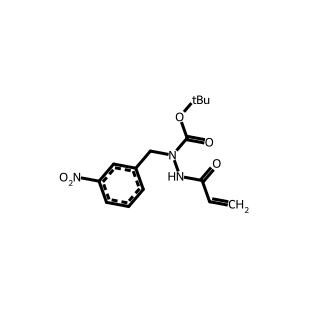 C=CC(=O)NN(Cc1cccc([N+](=O)[O-])c1)C(=O)OC(C)(C)C